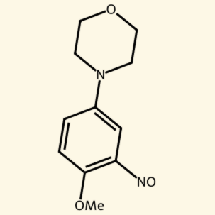 COc1ccc(N2CCOCC2)cc1N=O